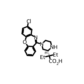 CCC(CC)(C(=O)O)[C@@H]1CN(C2=Nc3cc(Cl)ccc3Oc3ccccc32)CCN1